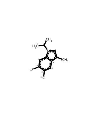 Cc1cn(C(C)C)c2cc(F)c(Cl)cc12